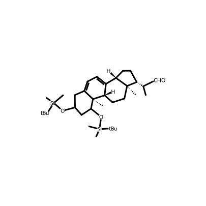 CC(C=O)[C@H]1CC[C@H]2C3=CC=C4CC(O[Si](C)(C)C(C)(C)C)CC(O[Si](C)(C)C(C)(C)C)[C@]4(C)[C@H]3CC[C@]12C